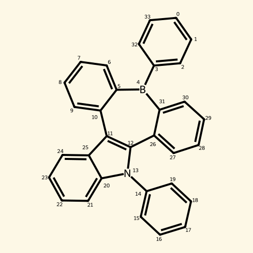 c1ccc(B2c3ccccc3-c3c(n(-c4ccccc4)c4ccccc34)-c3ccccc32)cc1